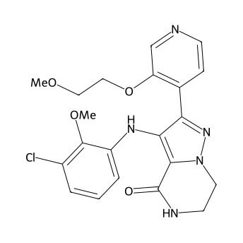 COCCOc1cnccc1-c1nn2c(c1Nc1cccc(Cl)c1OC)C(=O)NCC2